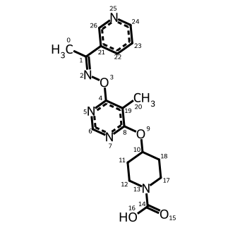 CC(=NOc1ncnc(OC2CCN(C(=O)O)CC2)c1C)c1cccnc1